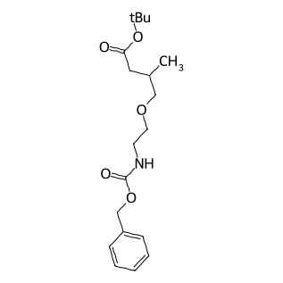 CC(COCCNC(=O)OCc1ccccc1)CC(=O)OC(C)(C)C